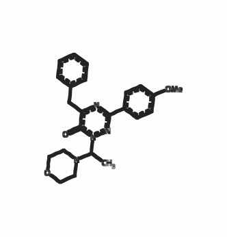 COc1ccc(-c2nc(Cc3ccccc3)c(=O)n(C(C)N3CCOCC3)n2)cc1